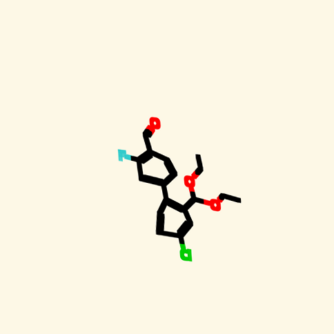 CCOC(OCC)c1cc(Cl)ccc1-c1ccc(C=O)c(F)c1